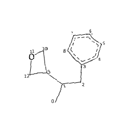 CC(Cc1cc[c]cc1)C1COC1